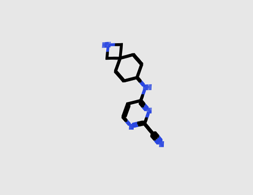 N#Cc1nccc(NC2CCC3(CC2)CNC3)n1